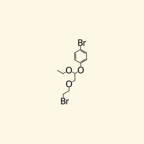 CCOC(COCCBr)Oc1ccc(Br)cc1